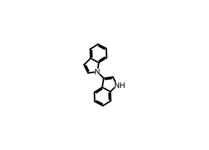 c1ccc2c(c1)ccn2-c1c[nH]c2ccccc12